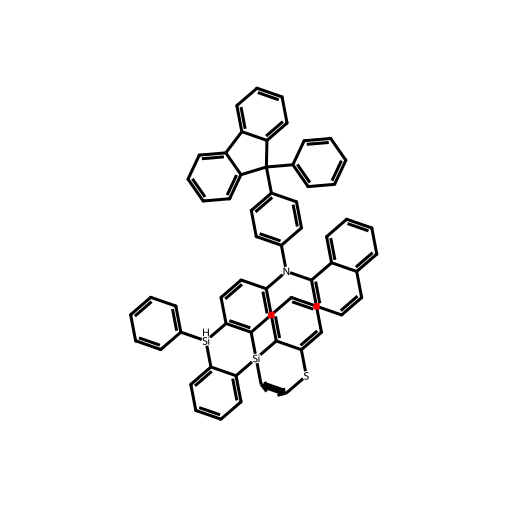 c1ccc([SiH]2c3ccccc3[Si]3(c4ccccc4Sc4ccccc43)c3cc(N(c4ccc(C5(c6ccccc6)c6ccccc6-c6ccccc65)cc4)c4cccc5ccccc45)ccc32)cc1